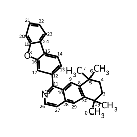 CC1(C)CCC(C)(C)c2cc3c(-c4ccc5c(c4)oc4ccccc45)nccc3cc21